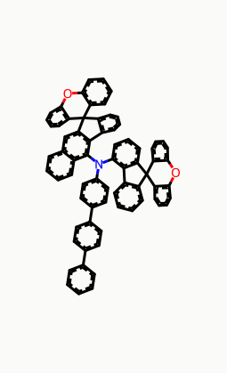 c1ccc(-c2ccc(-c3ccc(N(c4cccc5c4-c4ccccc4C54c5ccccc5Oc5ccccc54)c4c5c(cc6ccccc46)C4(c6ccccc6Oc6ccccc64)c4ccccc4-5)cc3)cc2)cc1